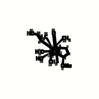 CO[C@@H]1CCC23CC[C@@H](C)[C@](C)(C12)[C@H](O)C[C@@](C)(CCO)C(=O)[C@@H]3C